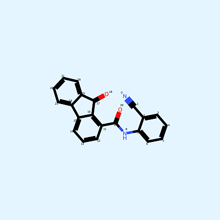 N#Cc1ccccc1NC(=O)c1cccc2c1C(=O)c1ccccc1-2